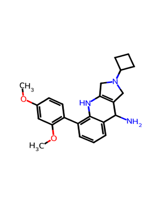 COc1ccc(-c2cccc3c2NC2=C(CN(C4CCC4)C2)C3N)c(OC)c1